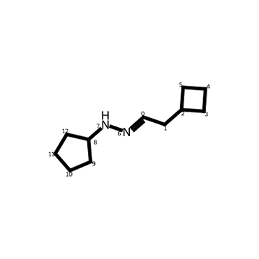 C(/CC1CCC1)=N\NC1CCCC1